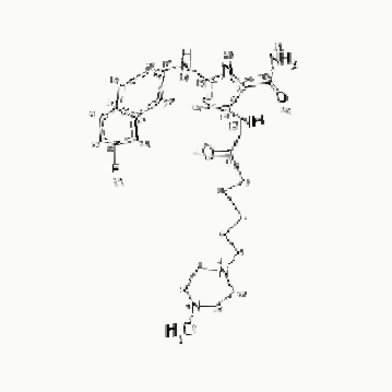 CN1CCN(CCCCCC(=O)Nc2sc(Nc3ccc4ccc(F)cc4c3)nc2C(N)=O)CC1